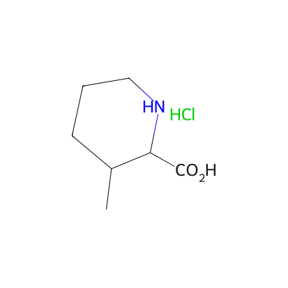 CC1CCCNC1C(=O)O.Cl